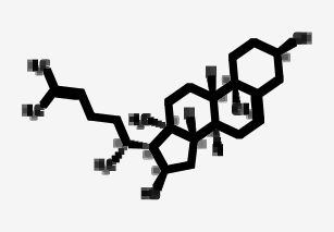 CC(C)=CCC[C@@H](C)[C@H]1[C@H](O)C[C@H]2[C@@H]3CC=C4C[C@H](O)CC[C@]4(C)[C@H]3CC[C@]12C